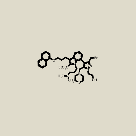 CCOC(=O)c1c(CCCOc2cccc3ccccc23)c2cccc(-c3c(CBr)nn(CCO)c3CN3CCOCC3)c2n1CCCN(C)C